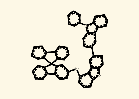 c1ccc(-n2c3ccccc3c3cc(-c4ccc5oc6cccc(Nc7ccc8c(c7)C7(c9ccccc9-c9ccccc97)c7ccccc7-8)c6c5c4)ccc32)cc1